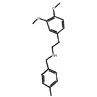 COc1ccc([CH]CNCc2ccc(C)cc2)cc1OC